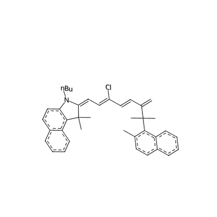 C=C(/C=C/C(Cl)=C/C=C1/N(CCCC)c2ccc3ccccc3c2C1(C)C)C(C)(C)c1c(C)ccc2ccccc12